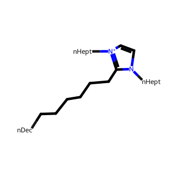 CCCCCCCCCCCCCCCCc1n(CCCCCCC)cc[n+]1CCCCCCC